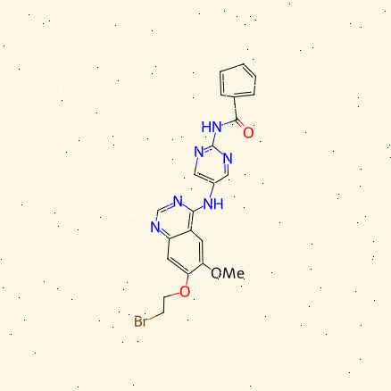 COc1cc2c(Nc3cnc(NC(=O)c4ccccc4)nc3)ncnc2cc1OCCBr